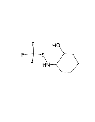 OC1CCCCC1NSC(F)(F)F